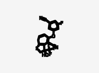 N#CC1=C(Oc2cc(F)cc(C#N)c2)C=CCC2=C1C(O)(C(F)(F)F)CS2